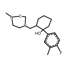 Cc1cc(C2(O)CCCCC2CN2CCN(C)CC2)ccc1F